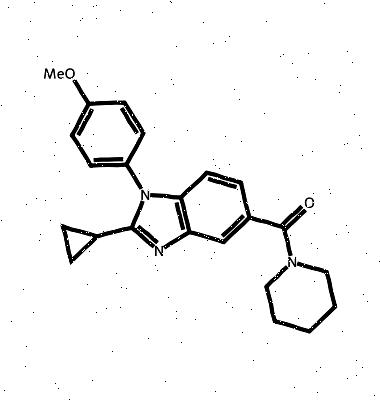 COc1ccc(-n2c(C3CC3)nc3cc(C(=O)N4CCCCC4)ccc32)cc1